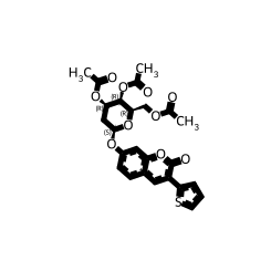 CC(=O)OC[C@H]1O[C@@H](Oc2ccc3cc(-c4cccs4)c(=O)oc3c2)C[C@@H](OC(C)=O)[C@H]1OC(C)=O